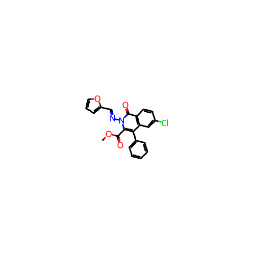 COC(=O)c1c(-c2ccccc2)c2cc(Cl)ccc2c(=O)n1N=Cc1ccco1